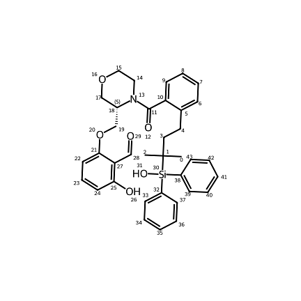 CC(C)(CCc1ccccc1C(=O)N1CCOC[C@H]1COc1cccc(O)c1C=O)[Si](O)(c1ccccc1)c1ccccc1